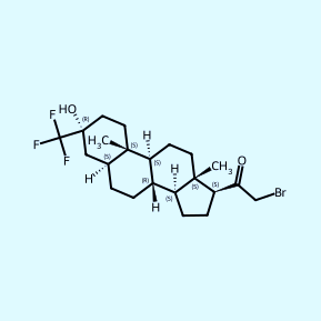 C[C@]12CC[C@](O)(C(F)(F)F)C[C@@H]1CC[C@@H]1[C@@H]2CC[C@]2(C)[C@@H](C(=O)CBr)CC[C@@H]12